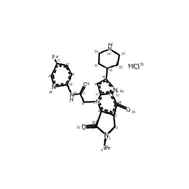 CC(C)N1Cc2c(n(CC(=O)Nc3ccc(F)cn3)c3cc(C4CCNCC4)nn3c2=O)C1=O.Cl